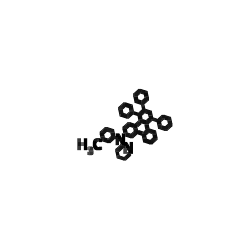 Cc1cccc(N(C2=CCCC=N2)c2ccc3c(c2)c2ccccc2c2c(-c4ccccc4)cc(-c4ccccc4)c(-c4ccccc4)c32)c1